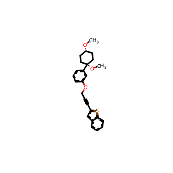 CO[C@H]1CC[C@](OC)(c2cccc(OCC#Cc3cc4ccccc4s3)c2)CC1